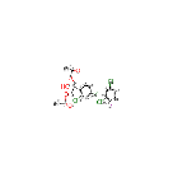 CC(C)C(=O)OCC(O)(COC(=O)C(C)C)c1ccc(Cl)cc1Cl.Clc1ccc(I)c(Cl)c1